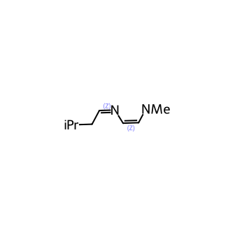 CN/C=C\N=C/CC(C)C